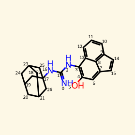 N=C(Nc1c(O)cc2c3c(cccc13)C=C2)NC12CC3CC(CC(C3)C1)C2